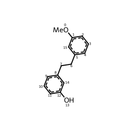 COc1cccc(CCc2cccc(O)c2)c1